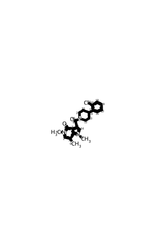 Cc1cn(C)c(=O)c2c(C(=O)N3CCC(c4ccccc4Cl)CC3)cn(C)c12